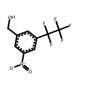 O=[N+]([O-])c1cc(CO)cc(C(F)(F)C(F)(F)F)c1